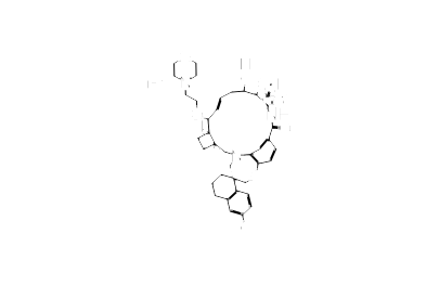 CC1C/C=C/C(OCCN2CCOC[C@H]2C(C)C)[C@@H]2CC[C@H]2CN2C[C@@]3(CCCc4cc(Cl)ccc43)COc3ccc(cc32)C(=O)NS(=O)(=O)C1C